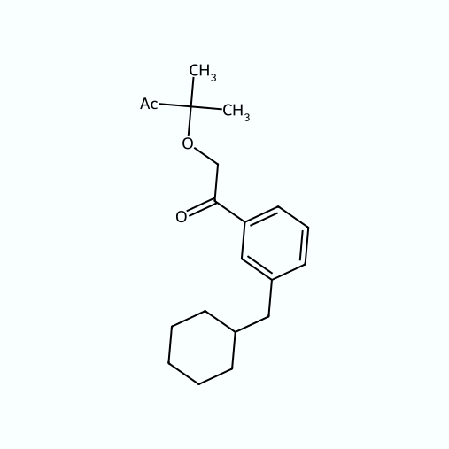 CC(=O)C(C)(C)OCC(=O)c1cccc(CC2CCCCC2)c1